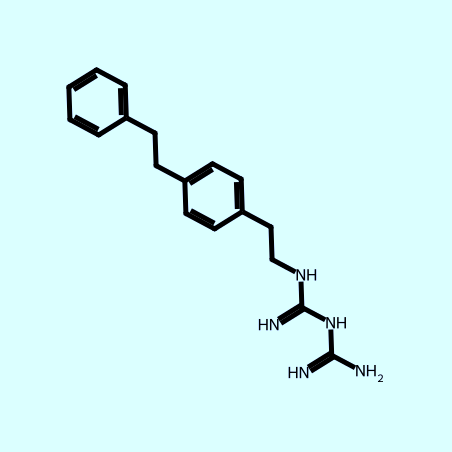 N=C(N)NC(=N)NCCc1ccc(CCc2ccccc2)cc1